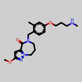 CNCCCOc1ccc(CN2CCCn3nc(OC)cc3C2=O)c(C)c1